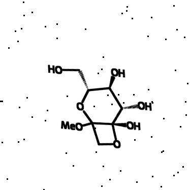 COC12CO[C@@]1(O)[C@@H](O)[C@H](O)[C@@H](CO)O2